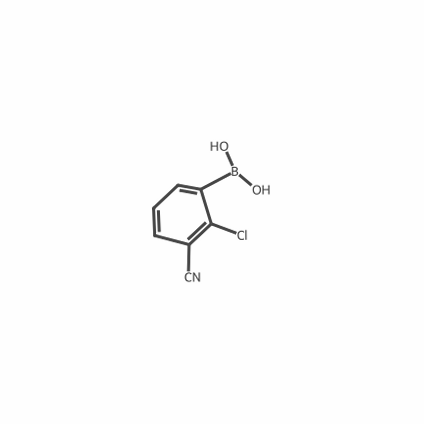 N#Cc1cccc(B(O)O)c1Cl